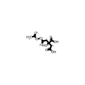 CC(=O)OOC(=O)CC(O)(CC(=O)O)C(=O)O